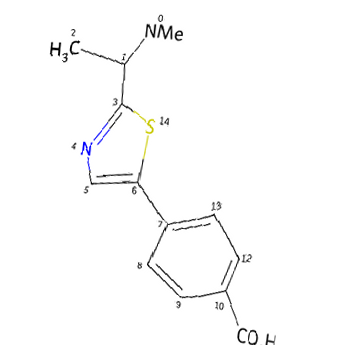 CNC(C)c1ncc(-c2ccc(C(=O)O)cc2)s1